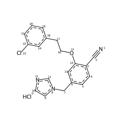 Cl.N#Cc1ccc(Cn2ccnc2)cc1OCCc1cccc(Cl)c1